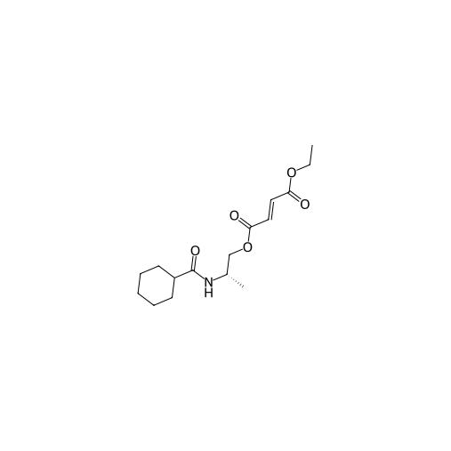 CCOC(=O)/C=C/C(=O)OC[C@H](C)NC(=O)C1CCCCC1